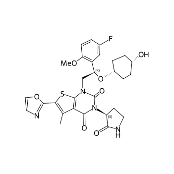 COc1ccc(F)cc1[C@H](Cn1c(=O)n([C@H]2CCNC2=O)c(=O)c2c(C)c(-c3ncco3)sc21)O[C@H]1CC[C@@H](O)CC1